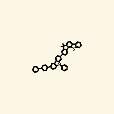 CC1(C)c2cc(-c3ccc4c5cc(-c6ccc(-c7ccccc7)cc6)ccc5n(-c5ccccc5)c4c3)ccc2-c2c1ccc1c2sc2ccccc21